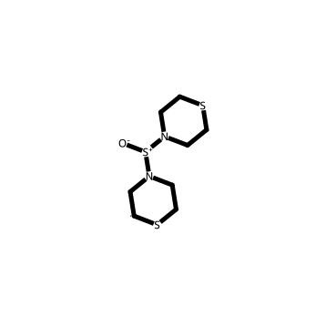 [O-][S+](N1C[CH]SCC1)N1CCSCC1